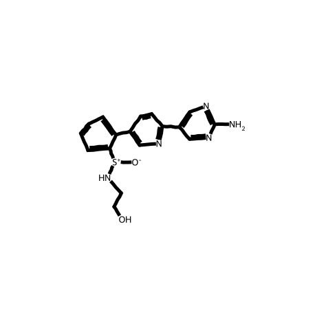 Nc1ncc(-c2ccc(-c3ccccc3[S+]([O-])NCCO)cn2)cn1